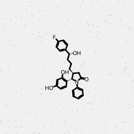 O=C1C[C@H](CCC[C@@H](O)c2ccc(F)cc2)[C@@H](c2ccc(O)cc2O)N1c1ccccc1